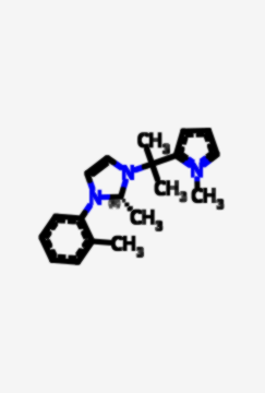 Cc1ccccc1N1C=CN(C(C)(C)c2cccn2C)[C@@H]1C